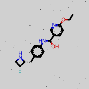 CCOc1ccc(C(O)Nc2ccc(C[C@H]3NC[C@H]3F)cc2)cn1